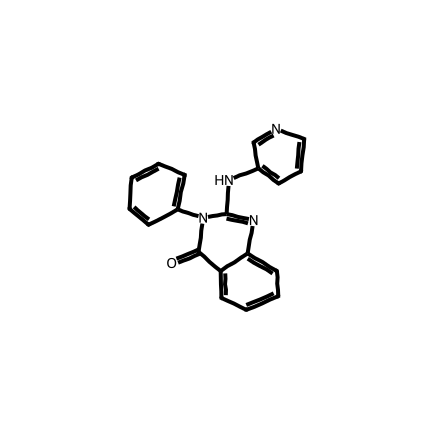 O=c1c2ccccc2nc(Nc2cccnc2)n1-c1ccccc1